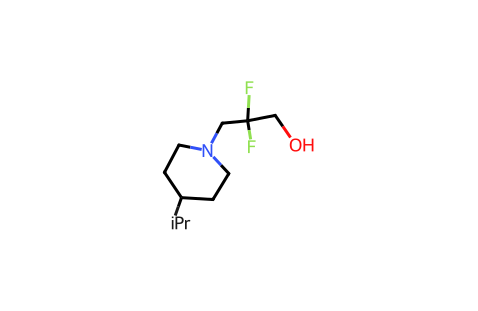 CC(C)C1CCN(CC(F)(F)CO)CC1